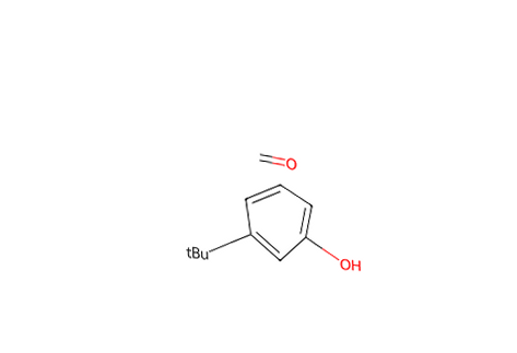 C=O.CC(C)(C)c1cccc(O)c1